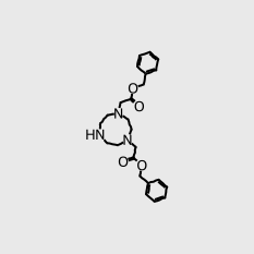 O=C(CN1CCNCCN(CC(=O)OCc2ccccc2)CC1)OCc1ccccc1